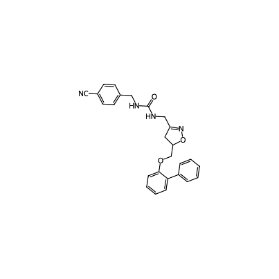 N#Cc1ccc(CNC(=O)NCC2=NOC(COc3ccccc3-c3ccccc3)C2)cc1